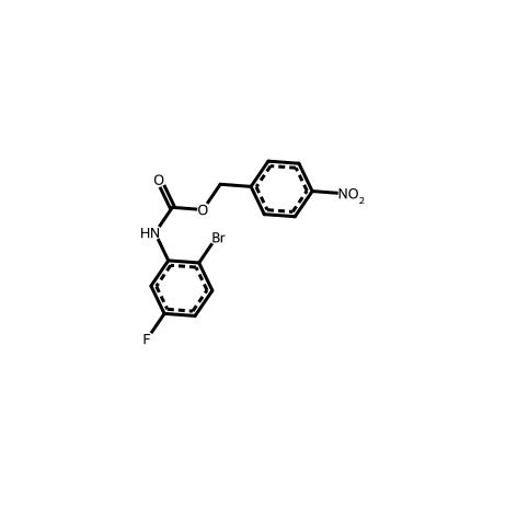 O=C(Nc1cc(F)ccc1Br)OCc1ccc([N+](=O)[O-])cc1